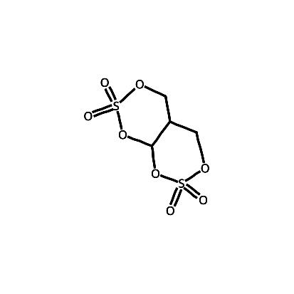 O=S1(=O)OCC2COS(=O)(=O)OC2O1